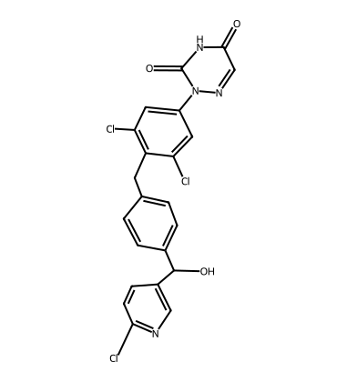 O=c1cnn(-c2cc(Cl)c(Cc3ccc(C(O)c4ccc(Cl)nc4)cc3)c(Cl)c2)c(=O)[nH]1